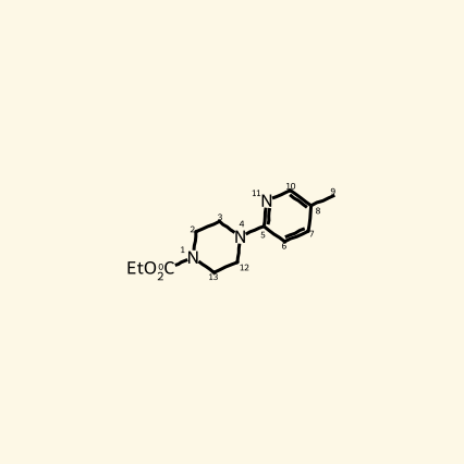 CCOC(=O)N1CCN(c2ccc(C)cn2)CC1